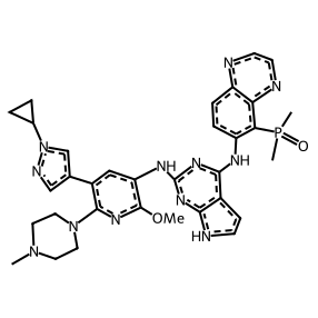 COc1nc(N2CCN(C)CC2)c(-c2cnn(C3CC3)c2)cc1Nc1nc(Nc2ccc3nccnc3c2P(C)(C)=O)c2cc[nH]c2n1